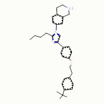 CCCCc1nc(-c2ccc(OCCc3ccc(C(C)(C)C)cc3)cc2)cn1-c1ccc2c(c1)CNCC2